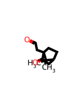 CC1(C)C2CCC1(CC=O)C(=O)C2